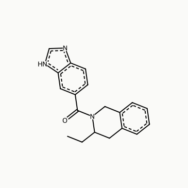 CCC1Cc2ccccc2CN1C(=O)c1ccc2nc[nH]c2c1